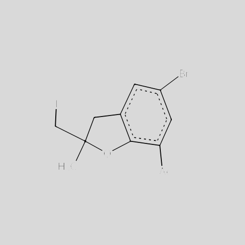 CC(=O)c1cc(Br)cc2c1OC(C)(CI)C2